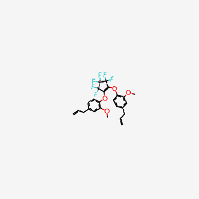 C=CCc1ccc(OC2=C(Oc3ccc(CC=C)cc3OC)C(F)(F)C(F)(F)C2(F)F)c(OC)c1